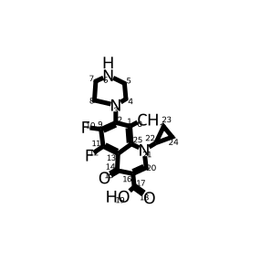 Cc1c(N2CCNCC2)c(F)c(F)c2c(=O)c(C(=O)O)cn(C3CC3)c12